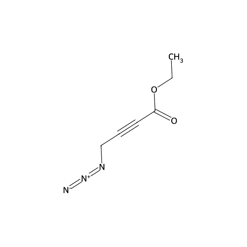 CCOC(=O)C#CCN=[N+]=[N-]